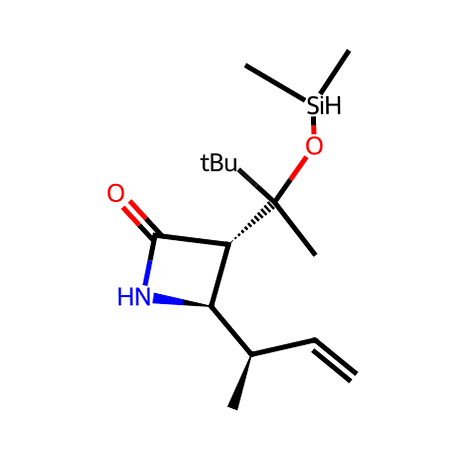 C=C[C@@H](C)[C@H]1NC(=O)[C@@H]1C(C)(O[SiH](C)C)C(C)(C)C